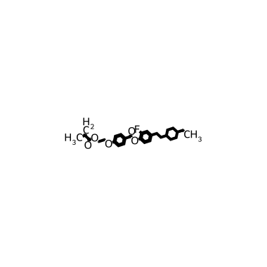 C=C(C)C(=O)OCCOc1ccc(C(=O)Oc2ccc(CCC3CCC(CC)CC3)cc2F)cc1